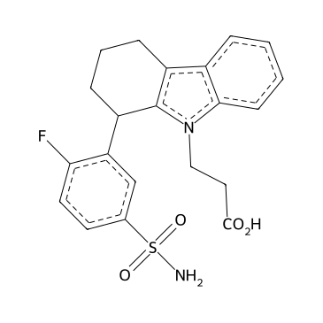 NS(=O)(=O)c1ccc(F)c(C2CCCc3c2n(CCC(=O)O)c2ccccc32)c1